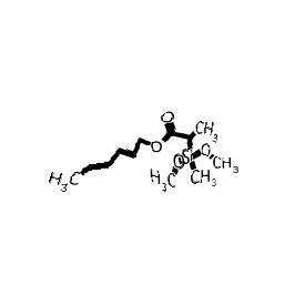 CCCCCCOC(=O)C(C)[Si](C)(OC)OC